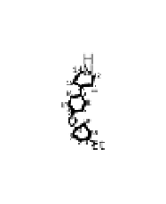 CC[C@H]1CC[C@H](Oc2ccc(C3=CCNCC3)cc2)CC1